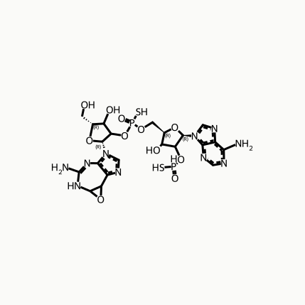 NC1=Nc2c(ncn2[C@@H]2O[C@H](CO)C(O)C2OP(=O)(S)OC[C@H]2O[C@@H](n3cnc4c(N)ncnc43)C(O[PH](=O)S)C2O)C2OC2N1